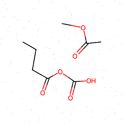 CCCC(=O)OC(=O)O.COC(C)=O